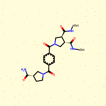 CCCCCCCCNC(=O)[C@@H]1CN(C(=O)c2ccc(C(=O)N3CC[C@H](C(N)=O)C3)cc2)C[C@H]1C(=O)NCCCCCCCC